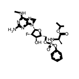 CNc1nc(N)nc2c1ncn2[C@@H]1O[C@H](CO[P@@](=O)(N[C@H](C)C(=O)OC(C)C)Oc2ccccc2)[C@@H](O)[C@@H]1F